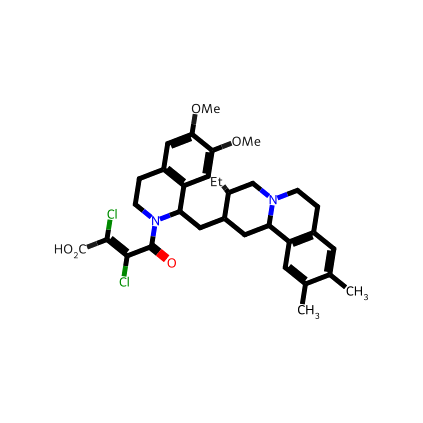 CCC1CN2CCc3cc(C)c(C)cc3C2CC1CC1c2cc(OC)c(OC)cc2CCN1C(=O)/C(Cl)=C(\Cl)C(=O)O